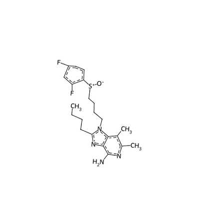 CCCCc1nc2c(N)nc(C)c(C)c2n1CCCC[S+]([O-])c1ccc(F)cc1F